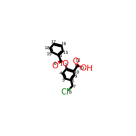 O=C(Oc1ccc(CCl)cc1C(=O)O)c1ccccc1